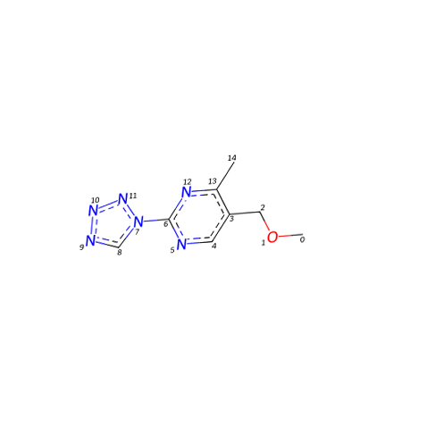 COCc1cnc(-n2cnnn2)nc1C